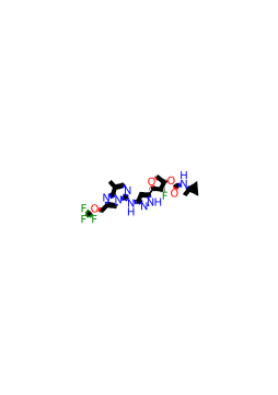 Cc1cnc(Nc2cc([C@H]3OC[C@@H](OC(=O)NC4(C)CC4)[C@H]3F)[nH]n2)n2cc(COC(F)(F)F)nc12